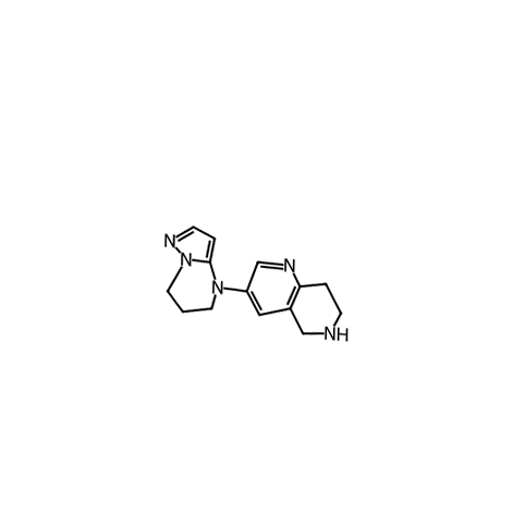 c1cc2n(n1)CCCN2c1cnc2c(c1)CNCC2